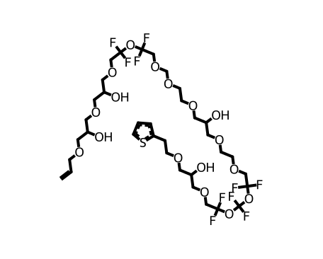 C=CCOCC(O)COCC(O)COCC(F)(F)OC(F)(F)COCOCCOCC(O)COCCOCC(F)(F)OC(F)(F)OC(F)(F)COCC(O)COCCc1cccs1